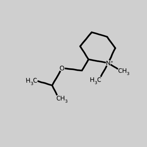 CC(C)OCC1CCCC[N+]1(C)C